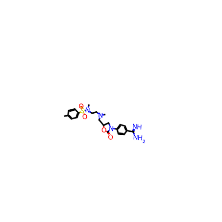 Cc1ccc(S(=O)(=O)N(C)CCN(C)CC2CN(c3ccc(C(=N)N)cc3)C(=O)O2)cc1